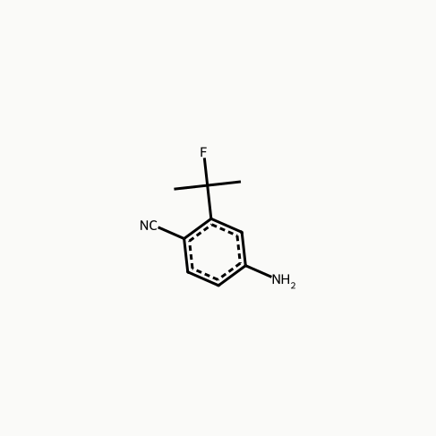 CC(C)(F)c1cc(N)ccc1C#N